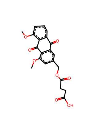 COc1cccc2c1C(=O)c1c(OC)cc(COC(=O)CCC(=O)O)cc1C2=O